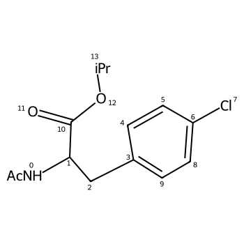 CC(=O)NC(Cc1ccc(Cl)cc1)C(=O)OC(C)C